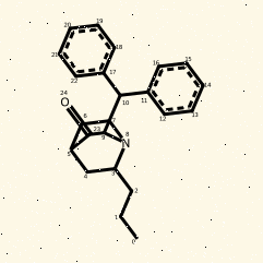 CCCC1CC2CCN1C(C(c1ccccc1)c1ccccc1)C2=O